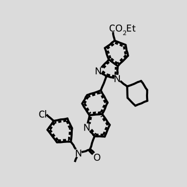 CCOC(=O)c1ccc2c(c1)nc(-c1ccc3nc(C(=O)N(C)c4ccc(Cl)cc4)ccc3c1)n2C1CCCCC1